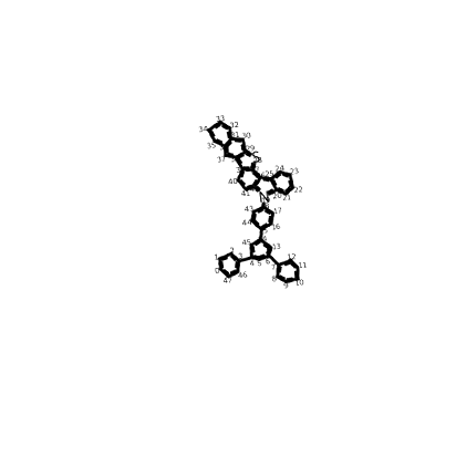 c1ccc(-c2cc(-c3ccccc3)cc(-c3ccc(-n4c5ccccc5c5c6sc7cc8ccccc8cc7c6ccc54)cc3)c2)cc1